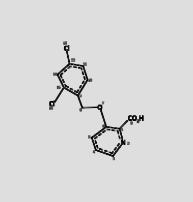 O=C(O)c1ncccc1OCc1ccc(Cl)cc1Cl